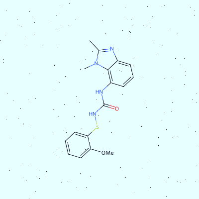 COc1ccccc1SNC(=O)Nc1cccc2nc(C)n(C)c12